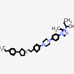 C=C1N(c2ccc(N3CCN(c4ccc(CC[C@@H]5CCC(c6ccc(CC)cc6)C5)cc4)CC3)cc2)C=NN1C(C)CC